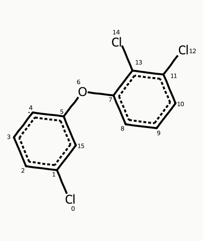 Clc1cc[c]c(Oc2cccc(Cl)c2Cl)c1